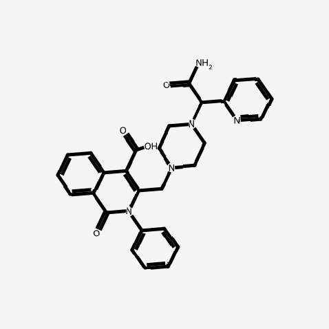 NC(=O)C(c1ccccn1)N1CCN(Cc2c(C(=O)O)c3ccccc3c(=O)n2-c2ccccc2)CC1